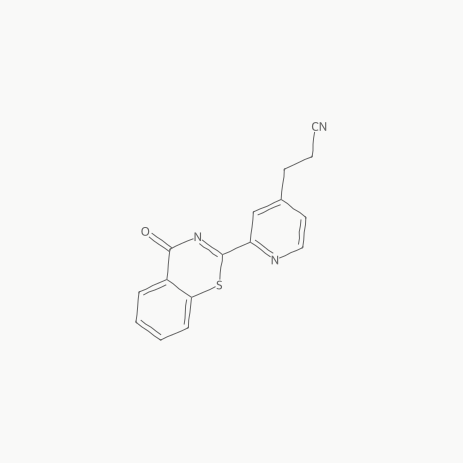 N#CCCc1ccnc(-c2nc(=O)c3ccccc3s2)c1